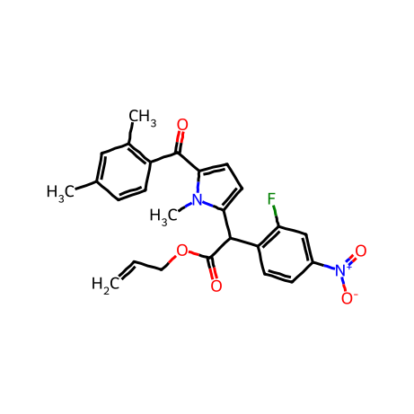 C=CCOC(=O)C(c1ccc([N+](=O)[O-])cc1F)c1ccc(C(=O)c2ccc(C)cc2C)n1C